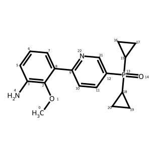 COc1c(N)cccc1-c1ccc(P(=O)(C2CC2)C2CC2)cn1